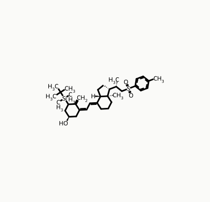 C=C1/C(=C\C=C2/CCC[C@]3(C)[C@@H]([C@H](C)CS(=O)(=O)c4ccc(C)cc4)CC[C@@H]23)C[C@@H](O)CC1[Si](C)(C)C(C)(C)C